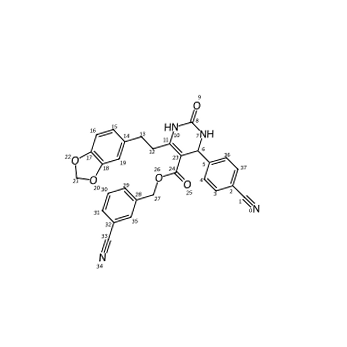 N#Cc1ccc(C2NC(=O)NC(CCc3ccc4c(c3)OCO4)=C2C(=O)OCc2cccc(C#N)c2)cc1